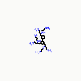 NCCCNC(CCN)Cc1cccc(-c2cc(CC(CCN)NCCCN)cc(CC(CCN)NCCCN)c2)c1